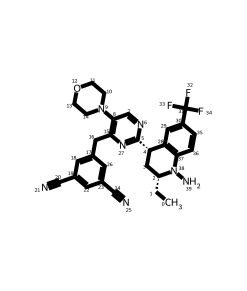 CC[C@@H]1C[C@H](c2ncc(N3CCOCC3)c(Cc3cc(C#N)cc(C#N)c3)n2)c2cc(C(F)(F)F)ccc2N1N